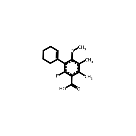 COc1c(C)c(C)c(C(=O)O)c(F)c1C1=CCCCC1